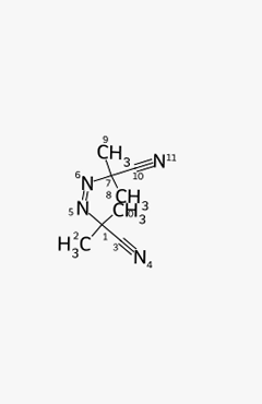 CC(C)(C#N)/N=N\C(C)(C)C#N